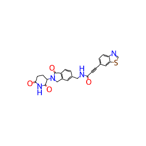 O=C(C#Cc1ccc2ncsc2c1)NCc1ccc2c(c1)CN(C1CCC(=O)NC1=O)C2=O